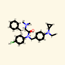 CCN(c1ccc(CN(C(=O)[C@H](Cc2ccccc2)N(C)C)c2ccc(F)cc2)cc1)C1CC1